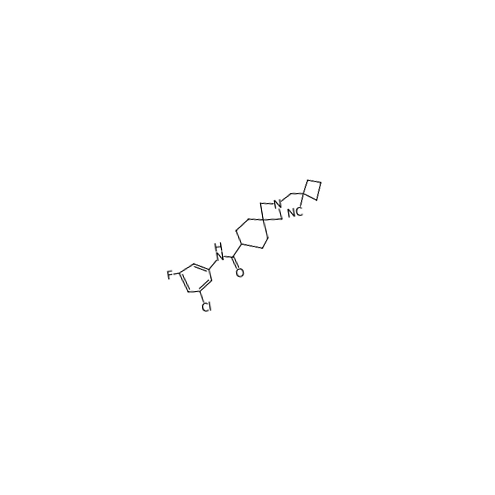 N#CC1(CN2CC3(CCC(C(=O)Nc4cc(F)cc(Cl)c4)CC3)C2)CCC1